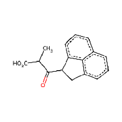 CC(C(=O)O)C(=O)C1Cc2cccc3cccc1c23